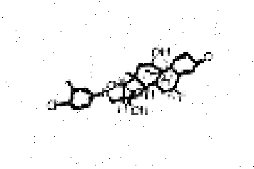 Cc1cc(N2C[C@@H]3C[C@H]4[C@@H]5C[C@H](F)C6=CC(=O)C=C[C@]6(C)[C@@]5(F)[C@@H](O)CC4(C)[C@]3(C(=O)CO)O2)ccc1Cl